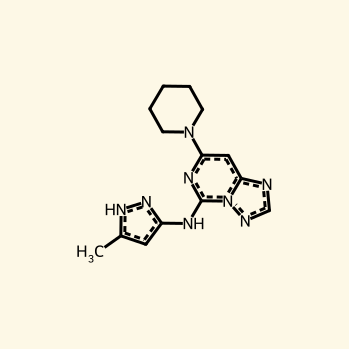 Cc1cc(Nc2nc(N3CCCCC3)cc3ncnn23)n[nH]1